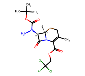 CC1=C(C(=O)OCC(Cl)(Cl)Cl)N2C(=O)[C@@H](N(N)C(=O)OC(C)(C)C)[C@H]2SC1